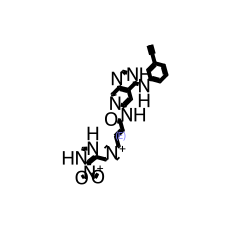 C#Cc1cccc(NC2NC=Nc3cnc(NC(=O)/C=C/C[N+](C)(C)CC4=C([N+](=O)[O-])NCN4)cc32)c1